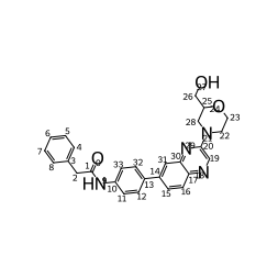 O=C(Cc1ccccc1)Nc1ccc(-c2ccc3ncc(N4CCOC(CO)C4)nc3c2)cc1